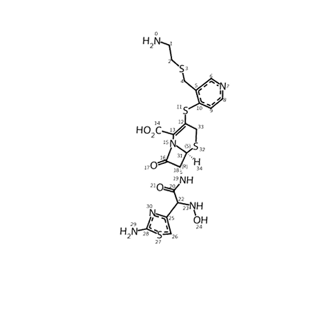 NCCSCc1cnccc1SC1=C(C(=O)O)N2C(=O)[C@@H](NC(=O)C(NO)c3csc(N)n3)[C@@H]2SC1